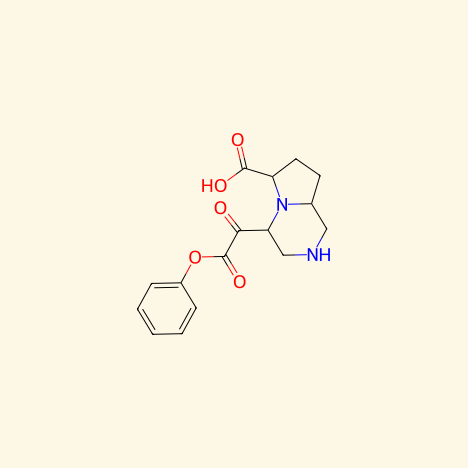 O=C(Oc1ccccc1)C(=O)C1CNCC2CCC(C(=O)O)N21